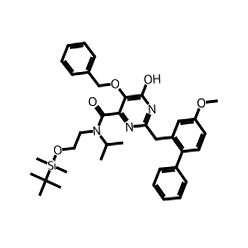 COc1ccc(-c2ccccc2)c(Cc2nc(O)c(OCc3ccccc3)c(C(=O)N(CCO[Si](C)(C)C(C)(C)C)C(C)C)n2)c1